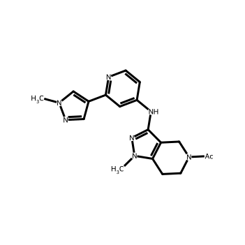 CC(=O)N1CCc2c(c(Nc3ccnc(-c4cnn(C)c4)c3)nn2C)C1